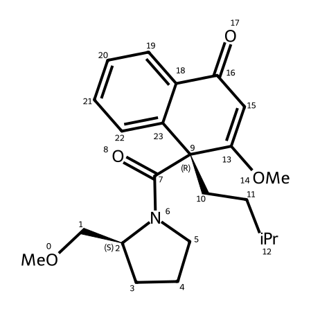 COC[C@@H]1CCCN1C(=O)[C@@]1(CCC(C)C)C(OC)=CC(=O)c2ccccc21